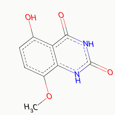 COc1ccc(O)c2c(=O)[nH]c(=O)[nH]c12